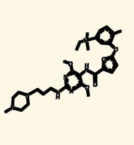 CC[Si](C)(C)c1ccc(C)c(Oc2ccc(C(=O)Nc3c(OC)nc(NCCCN4CCN(C)CC4)nc3OC)o2)c1